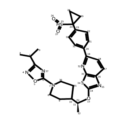 CC(C)c1noc(N2CCC([C@H](C)Oc3nc4ccc(-c5ccc(C6([SH](=O)=O)CC6)cc5)nc4s3)CC2)n1